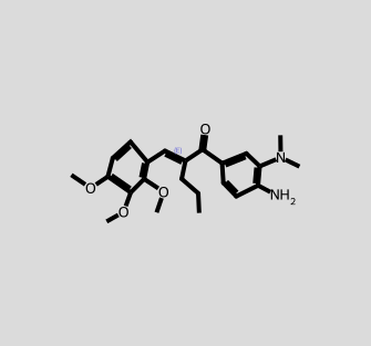 CCC/C(=C\c1ccc(OC)c(OC)c1OC)C(=O)c1ccc(N)c(N(C)C)c1